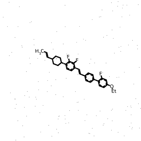 C/C=C/C1CCC(c2ccc(/C=C/c3ccc(-c4ccc(OCC)cc4F)cc3)c(F)c2F)CC1